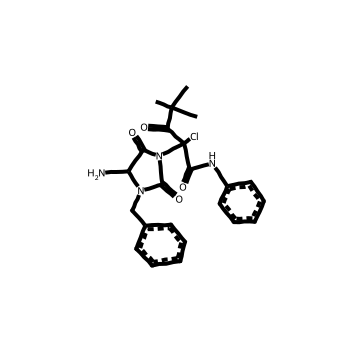 CC(C)(C)C(=O)C(Cl)(C(=O)Nc1ccccc1)N1C(=O)C(N)N(Cc2ccccc2)C1=O